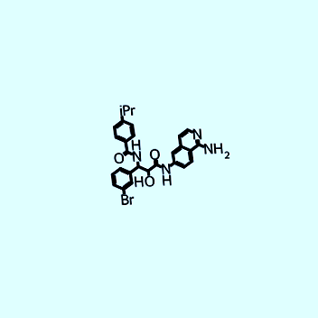 CC(C)c1ccc(C(=O)NC(c2cccc(Br)c2)C(O)C(=O)Nc2ccc3c(N)nccc3c2)cc1